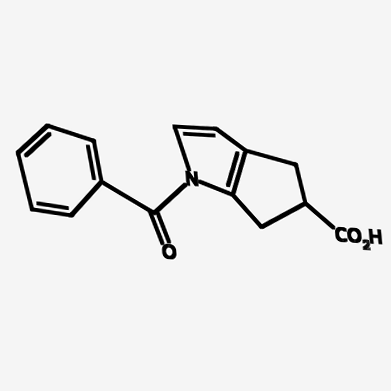 O=C(O)C1Cc2ccn(C(=O)c3ccccc3)c2C1